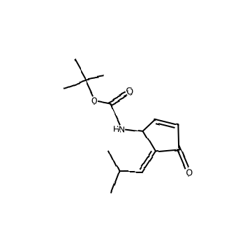 CC(C)C=C1C(=O)C=CC1NC(=O)OC(C)(C)C